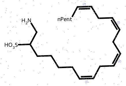 CCCCC/C=C\C/C=C\C/C=C\C/C=C\CCCCC(CN)S(=O)(=O)O